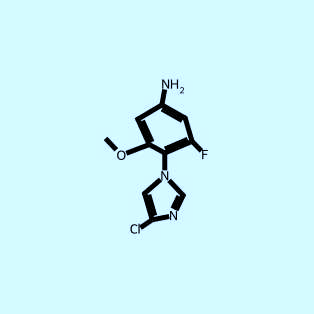 COc1cc(N)cc(F)c1-n1cnc(Cl)c1